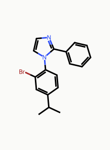 CC(C)c1ccc(-n2ccnc2-c2ccccc2)c(Br)c1